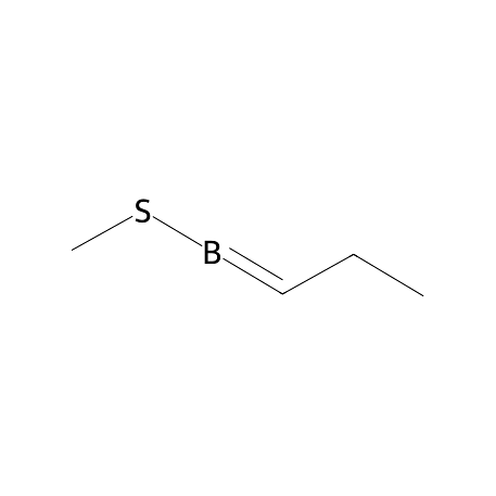 CC/C=B\SC